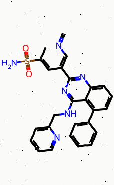 C=N/C=C(\C=C(/C)S(N)(=O)=O)c1nc(NCc2ccccn2)c2c(-c3ccccc3)cccc2n1